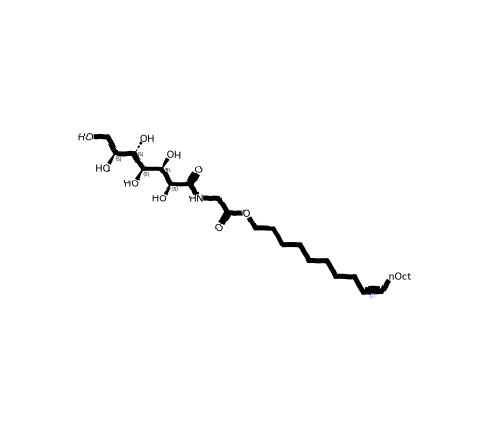 CCCCCCCC/C=C\CCCCCCCCOC(=O)CNC(=O)[C@@H](O)[C@H](O)[C@@H](O)[C@@H](O)[C@@H](O)CO